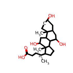 C[C@H](CCC(=O)O)C1CCC2C3C(O)CC4CC(O)CCC4(C)C3CC(O)C21C